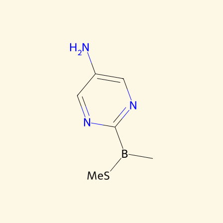 CSB(C)c1ncc(N)cn1